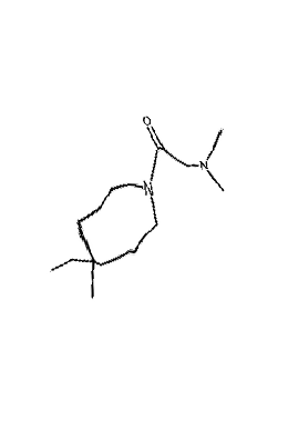 CN(C)C(=O)N1CCC(C)(C)CC1